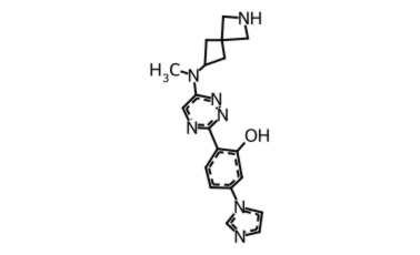 CN(c1cnc(-c2ccc(-n3ccnc3)cc2O)nn1)C1CC2(CNC2)C1